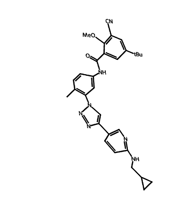 COc1c(C#N)cc(C(C)(C)C)cc1C(=O)Nc1ccc(C)c(-n2cc(-c3ccc(NCC4CC4)nc3)nn2)c1